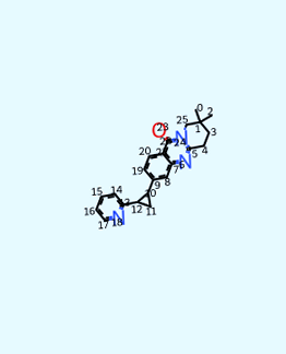 CC1(C)CCc2nc3cc(C4CC4c4ccccn4)ccc3c(=O)n2C1